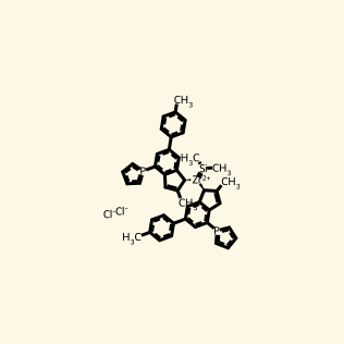 CC1=Cc2c(cc(-c3ccc(C)cc3)cc2-p2cccc2)[C@@H]1[Zr+2]([C@H]1C(C)=Cc2c1cc(-c1ccc(C)cc1)cc2-p1cccc1)=[Si](C)C.[Cl-].[Cl-]